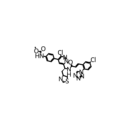 COC(=O)Nc1ccc(-c2cc([C@H](CC3CSC=N3)NC(=O)/C=C/c3cc(Cl)ccc3-n3cnnn3)nnc2Cl)cc1